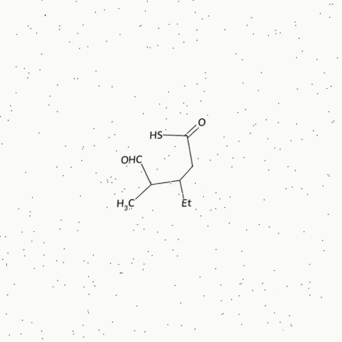 CCC(CC(=O)S)C(C)C=O